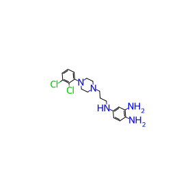 Nc1ccc(NCCCN2CCN(c3cccc(Cl)c3Cl)CC2)cc1N